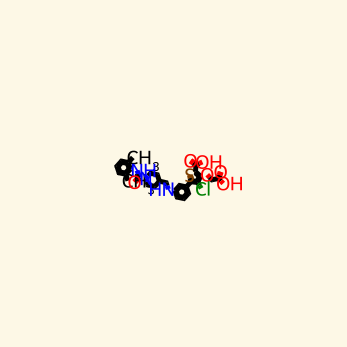 Cc1cccc(C)c1NC(=O)N1CCC(CNc2cccc(-c3sc(C(=O)O)c(OCC(=O)O)c3Cl)c2)CC1